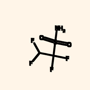 NS(=O)(=O)C(F)(F)C(F)F